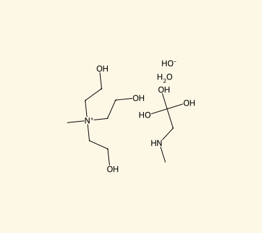 CNCC(O)(O)O.C[N+](CCO)(CCO)CCO.O.[OH-]